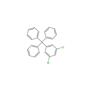 Clc1cc(Br)cc([Si](c2ccccc2)(c2ccccc2)c2ccccc2)c1